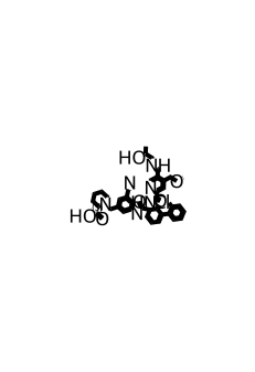 COCc1cc(C(=O)NC2(c3nc4cc(CN5CCCC[C@H]5C(=O)O)cc(C#N)c4o3)C=CC=C(c3ccccc3Cl)C2C)ncc1CNCC(C)O